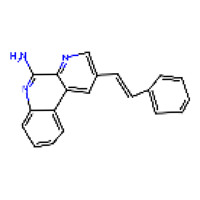 Nc1nc2ccccc2c2cc(C=Cc3ccccc3)cnc12